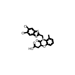 Cc1cccc2c1N(Cc1nc3cc(Cl)c(Cl)cc3s1)C(=O)C(CC(=O)O)O2